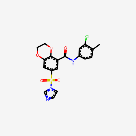 Cc1ccc(NC(=O)c2cc(S(=O)(=O)n3ccnc3)cc3c2OCCO3)cc1Cl